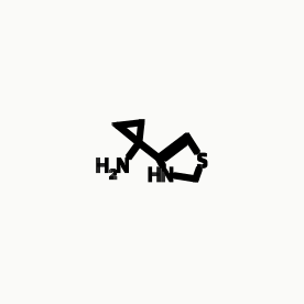 NC1(C2=CSCN2)CC1